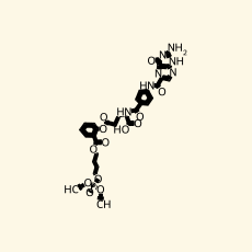 C#COP(=O)(OC#C)OCCCCOC(=O)c1ccccc1OC(=O)CC[C@H](NC(=O)c1ccc(NC(=O)c2cnc3[nH]c(N)nc(=O)c3n2)cc1)C(=O)O